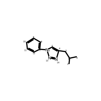 CC(C)Cc1cn(-c2ccccc2)nn1